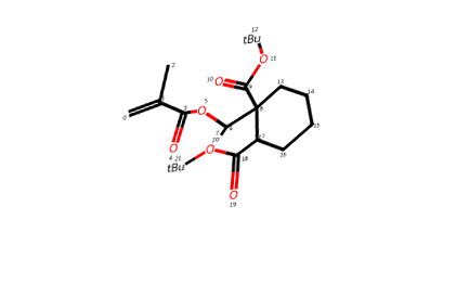 C=C(C)C(=O)OC(C)C1(C(=O)OC(C)(C)C)CCCCC1C(=O)OC(C)(C)C